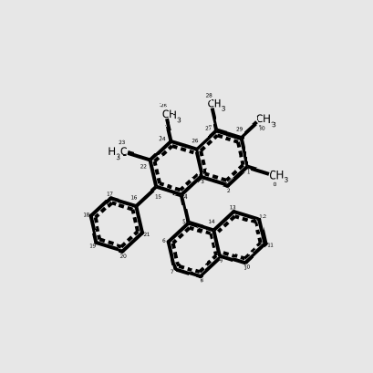 Cc1cc2c(-c3cccc4ccccc34)c(-c3ccccc3)c(C)c(C)c2c(C)c1C